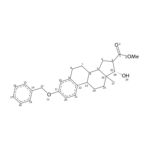 COC(=O)C1CC2C3CCc4cc(OCc5ccccc5)ccc4C3CCC2(C)[C@H]1O